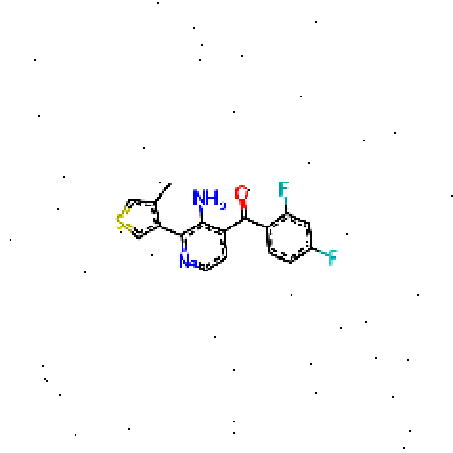 Cc1cscc1-c1nccc(C(=O)c2ccc(F)cc2F)c1N